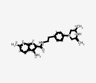 C=C1CN(c2ccc(CCNC(=O)c3sc4nc(C)ccc4c3N)cc2)CC(C)N1